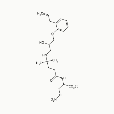 C=CCc1ccccc1OCC(O)CNC(C)(C)CCC(=O)NC(CO[N+](=O)[O-])C(=O)OCC